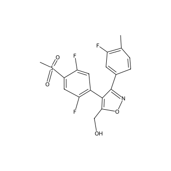 Cc1ccc(-c2noc(CO)c2-c2cc(F)c(S(C)(=O)=O)cc2F)cc1F